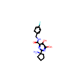 NC1(c2nc(O)c(O)c(C(=O)NCc3ccc(F)cc3)n2)CCCC1